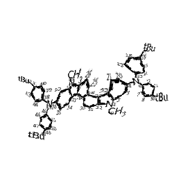 Cn1c2cc(N(c3ccc(C(C)(C)C)cc3)c3ccc(C(C)(C)C)cc3)ccc2c2c3ccc4c(c3ccc21)c1ccc(N(c2ccc(C(C)(C)C)cc2)c2ccc(C(C)(C)C)cc2)cc1n4C